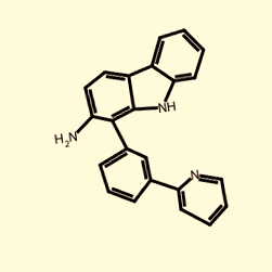 Nc1ccc2c([nH]c3ccccc32)c1-c1cccc(-c2ccccn2)c1